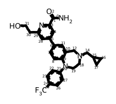 NC(=O)c1cc(-c2ccc3c(c2)CN(CC2CC2)CCN3c2ccc(C(F)(F)F)cc2)cc(CCO)n1